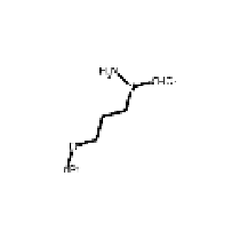 CCCOCCCN(N)[C]=O